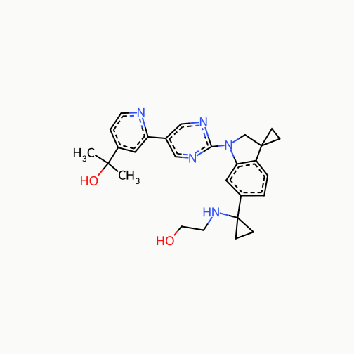 CC(C)(O)c1ccnc(-c2cnc(N3CC4(CC4)c4ccc(C5(NCCO)CC5)cc43)nc2)c1